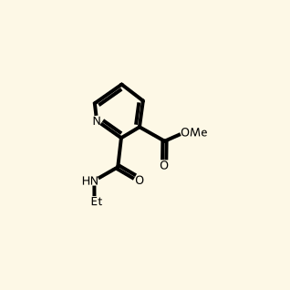 CCNC(=O)c1ncccc1C(=O)OC